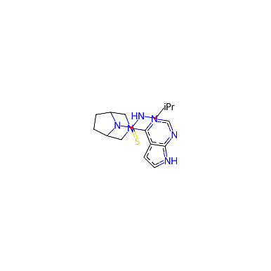 CC(C)CNC(=S)N1C2CCC1CN(c1ncnc3[nH]ccc13)C2